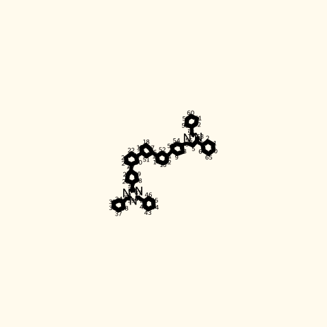 c1ccc(-c2cc(-c3ccc(-c4cccc(-c5cccc(-c6cccc(-c7ccc(-c8nc(-c9ccccc9)nc(-c9ccccc9)n8)cc7)c6)c5)c4)cc3)nc(-c3ccccc3)n2)cc1